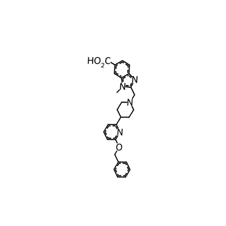 Cn1c(CN2CCC(c3cccc(OCc4ccccc4)n3)CC2)nc2ccc(C(=O)O)cc21